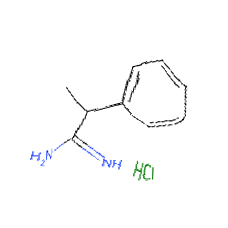 CC(C(=N)N)c1ccccc1.Cl